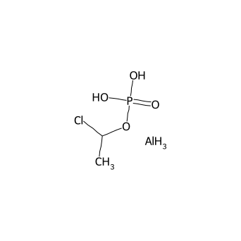 CC(Cl)OP(=O)(O)O.[AlH3]